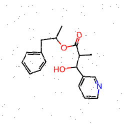 CC(Cc1ccccc1)OC(=O)C(C)C(O)c1cccnc1